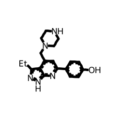 CCc1n[nH]c2nc(-c3ccc(O)cc3)cc(CN3CCNCC3)c12